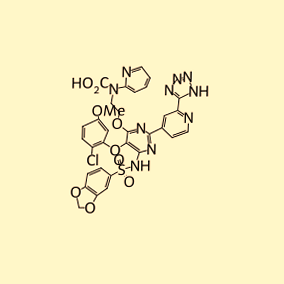 COc1ccc(Cl)c(Oc2c(NS(=O)(=O)c3ccc4c(c3)OCO4)nc(-c3ccnc(-c4nnn[nH]4)c3)nc2OCCN(C(=O)O)c2ccccn2)c1